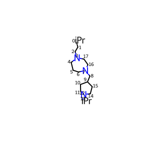 CC(C)CCN1CCCN(CC2CCN(C(C)C)CC2)CC1